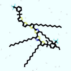 CCCCCCCCCCCCc1cc(-c2ccc(-c3ccc(C(C)(C)c4cccc(C(F)(F)F)c4)s3)s2)sc1-c1nc(CCCCCCCCCCCC)c(-c2sc(-c3sc(C(C)(CC)c4cccc(C(F)(F)F)c4)cc3CCCCCCCCCCCC)nc2CCCCCCCCCCCC)s1